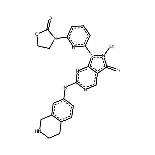 CCn1c(=O)c2cnc(Nc3ccc4c(c3)CNCC4)nc2n1-c1cccc(N2CCOC2=O)n1